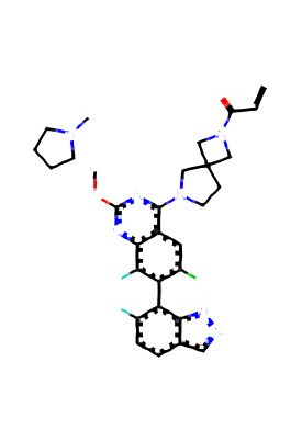 C=CC(=O)N1CC2(CCN(c3nc(OC[C@@H]4CCCN4C)nc4c(F)c(-c5c(F)ccc6cn[nH]c56)c(Cl)cc34)C2)C1